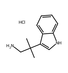 CC(C)(CN)c1c[nH]c2ccccc12.Cl